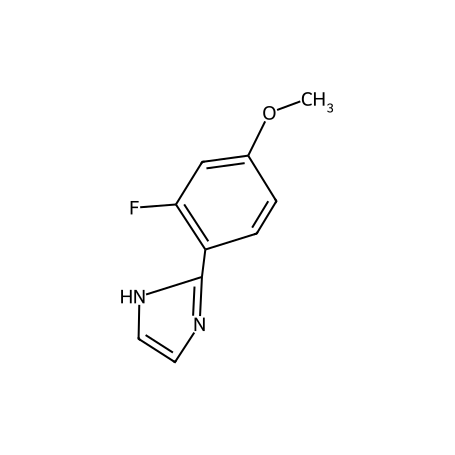 COc1ccc(-c2ncc[nH]2)c(F)c1